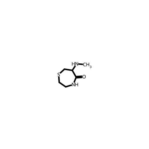 CNC1CSCCNC1=O